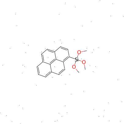 CO[Si](OC)(OC)c1ccc2ccc3cccc4ccc1c2c34